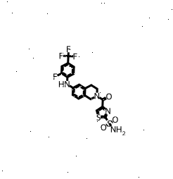 NS(=O)(=O)c1nc(C(=O)N2CCc3cc(Nc4ccc(C(F)(F)F)cc4F)ccc3C2)cs1